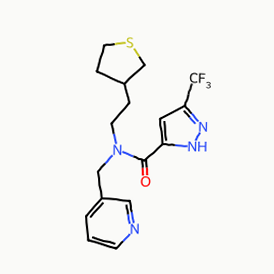 O=C(c1cc(C(F)(F)F)n[nH]1)N(CCC1CCSC1)Cc1cccnc1